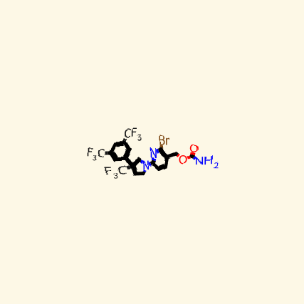 NC(=O)OCc1ccc(N2CCC(c3cc(C(F)(F)F)cc(C(F)(F)F)c3)(C(F)(F)F)C2)nc1Br